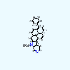 CC(C)(C)n1c2cnccc2c2c3ccc4ccc(-c5ccccc5)c5ccc(cc21)c3c45